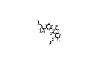 C=CCOc1c(Br)cccc1C(=O)N(C(=O)O)c1cccc(-c2nncn2CC=C)n1